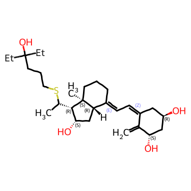 C=C1/C(=C\C=C2/CCC[C@@]3(C)[C@H]2C[C@H](O)[C@@H]3C(C)SCCCC(O)(CC)CC)C[C@@H](O)C[C@@H]1O